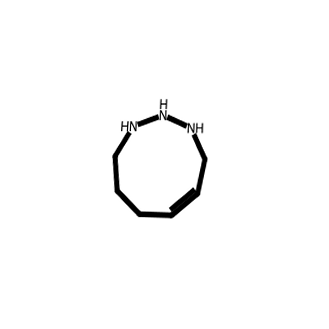 C1=CCNNNCCC1